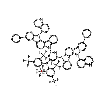 FC(F)(F)c1cc(C(F)(F)F)c(B(c2cc(-n3c4ccccc4c4c3ccc3c5cc(-c6ccccc6)ccc5n(-c5cccc6ncccc56)c34)nc(-n3c4ccccc4c4c3ccc3c5cc(-c6ccccc6)ccc5n(-c5cccc6ncccc56)c34)c2)c2c(C(F)(F)F)cc(C(F)(F)F)cc2C(F)(F)F)c(C(F)(F)F)c1